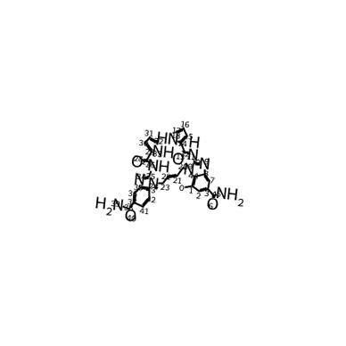 Cc1cc(C(N)=O)cc2nc(NC(=O)c3ccc[nH]3)n(C/C=C/Cn3c(NC(=O)c4ccc[nH]4)nc4cc(C(N)=O)ccc43)c12